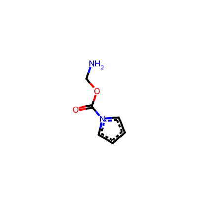 NCOC(=O)n1cccc1